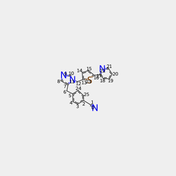 N#Cc1ccc(Cc2cncn2Cc2ccc(-c3ccccn3)s2)cc1